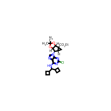 CCOC(=O)[C@@]12C[C@@H]1[C@@H](n1cnc3c(NC(C4CCC4)C4CCC4)nc(Cl)nc31)[C@@H]1OC(C)(C)O[C@@H]12